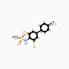 CS(=O)(=O)Nc1c(F)cc(-c2ccc(C(F)(F)F)cc2)cc1F